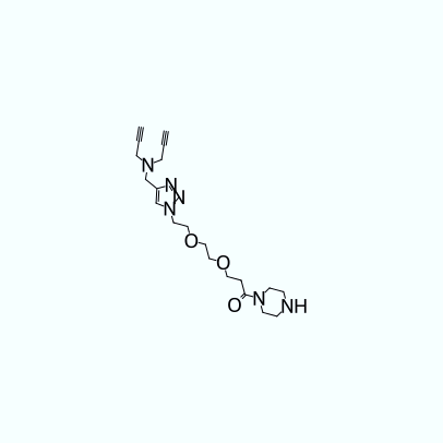 C#CCN(CC#C)Cc1cn(CCOCCOCCC(=O)N2CCNCC2)nn1